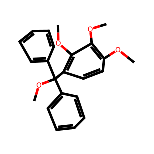 COc1ccc(C(OC)(c2ccccc2)c2ccccc2)c(OC)c1OC